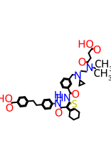 CC(C)N(CCN(Cc1cccc(C(=O)Nc2sc3c(c2C(=O)Nc2ccc(CCc4ccc(C(=O)O)cc4)cc2)CCCC3)c1)C1CC1)C(=O)CCC(=O)O